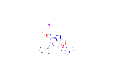 CC[C@H](C)[C@@H](CN(CC(=O)N[C@@H](CCC(N)=O)C(=O)O)Cc1cccc2ccccc12)NC(=O)[C@@H]1CCC(=O)N1